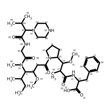 CCC(C)C(C(CC(=O)N1CCCC1C(OC)C(C)C(=O)NC(Cc1ccccc1)C(=O)O)OC)N(C)C(=O)CNC(=O)C(C(C)C)N1CCNCC1